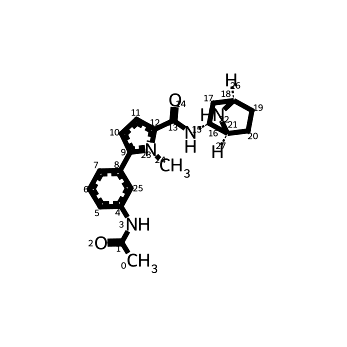 CC(=O)Nc1cccc(-c2ccc(C(=O)N[C@@H]3C[C@H]4CC[C@@H]3N4)n2C)c1